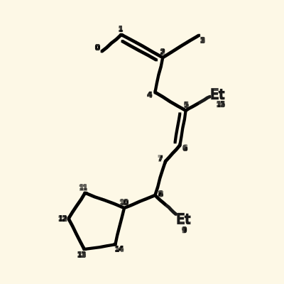 C/C=C(/C)C/C(=C\CC(CC)C1CCCC1)CC